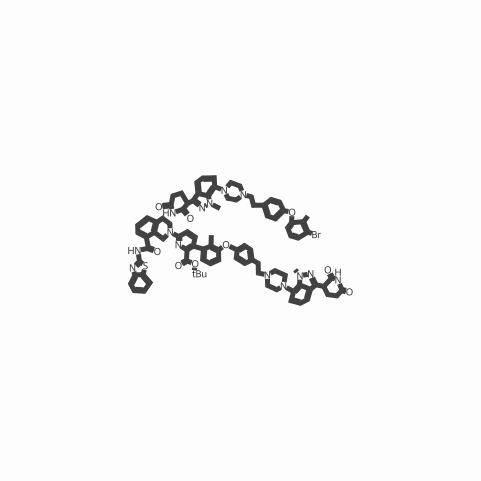 Cc1c(Br)cccc1Oc1ccc(CCN2CCN(c3cccc4c(C5CCC(=O)NC5=O)nn(C)c34)CC2)cc1.Cc1c(Oc2ccc(CCN3CCN(c4cccc5c(C6CCC(=O)NC6=O)nn(C)c45)CC3)cc2)cccc1-c1ccc(N2CCc3cccc(C(=O)Nc4nc5ccccc5s4)c3C2)nc1C(=O)OC(C)(C)C